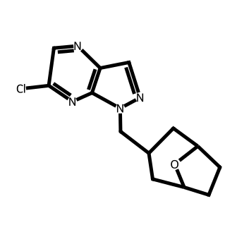 Clc1cnc2cnn(CC3CC4CCC(C3)O4)c2n1